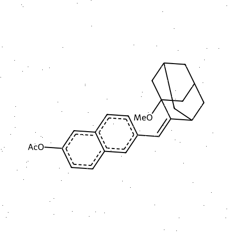 COC12CC3CC(CC(C3)C1=Cc1ccc3cc(OC(C)=O)ccc3c1)C2